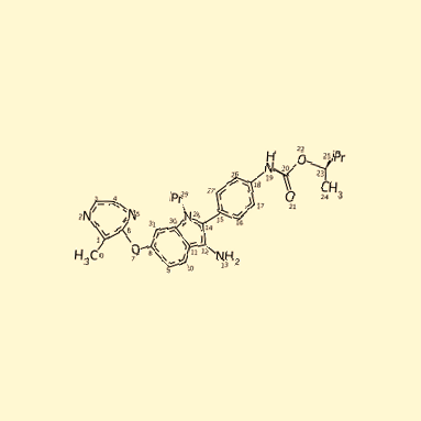 Cc1nccnc1Oc1ccc2c(N)c(-c3ccc(NC(=O)O[C@H](C)C(C)C)cc3)n(C(C)C)c2c1